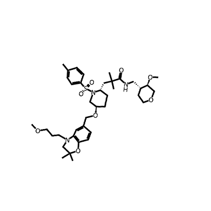 COCCCN1CC(C)(C)Oc2ccc(CO[C@@H]3CC[C@@H](CC(C)(C)C(=O)NC[C@H]4CCOC[C@@H]4OC)N(S(=O)(=O)c4ccc(C)cc4)C3)cc21